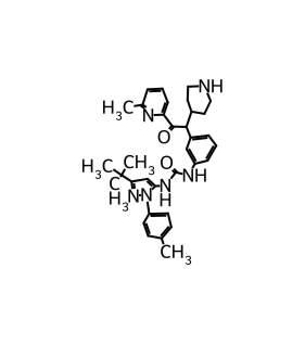 Cc1ccc(-n2nc(C(C)(C)C)cc2NC(=O)Nc2cccc(C(C(=O)c3cccc(C)n3)C3CCNCC3)c2)cc1